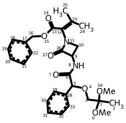 COC(C)(COC(C(=O)NC1CN(C(C(=O)OCc2ccccc2)=C(C)C)C1=O)c1ccccc1)OC